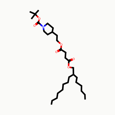 CCCCCCCCC(CCCCCC)COC(=O)CCC(=O)OCCC1CCN(C(=O)OC(C)(C)C)CC1